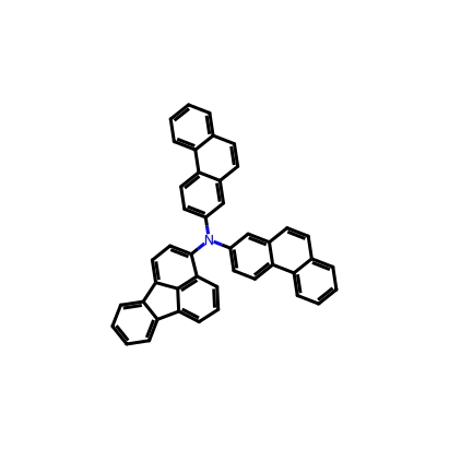 c1ccc2c(c1)-c1cccc3c(N(c4ccc5c(ccc6ccccc65)c4)c4ccc5c(ccc6ccccc65)c4)ccc-2c13